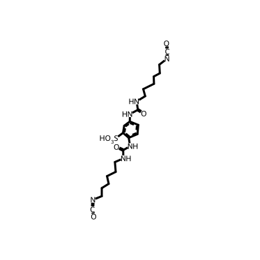 O=C=NCCCCCCNC(=O)Nc1ccc(NC(=O)NCCCCCCN=C=O)c(S(=O)(=O)O)c1